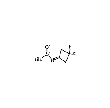 CC(C)(C)[S+]([O-])N=C1CC(F)(F)C1